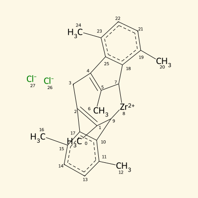 CC1=C2CC3=C(C)[CH]([Zr+2][CH]1c1c(C)ccc(C)c12)c1c(C)ccc(C)c13.[Cl-].[Cl-]